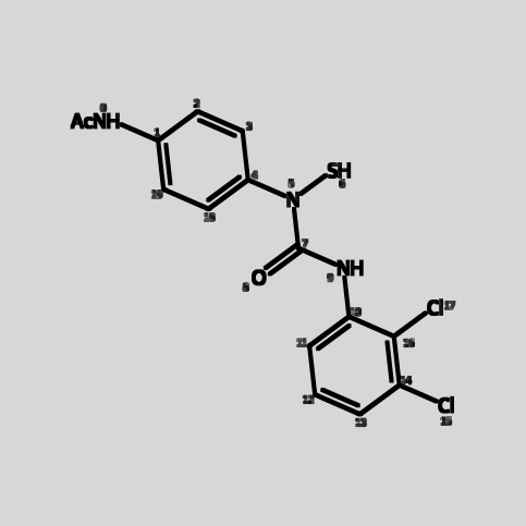 CC(=O)Nc1ccc(N(S)C(=O)Nc2cccc(Cl)c2Cl)cc1